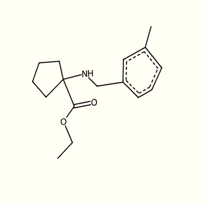 CCOC(=O)C1(NCc2cccc(C)c2)CCCC1